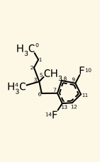 CCCC(C)(C)Cc1cc(F)ccc1F